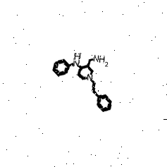 NCC1CN(CCc2ccccc2)CCC1Nc1ccccc1